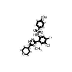 Cn1c(-c2cc(Cl)c(F)cc2NS(=O)(=O)c2ccc(C(C)(C)C)cc2)nnc1C1CCOCC1